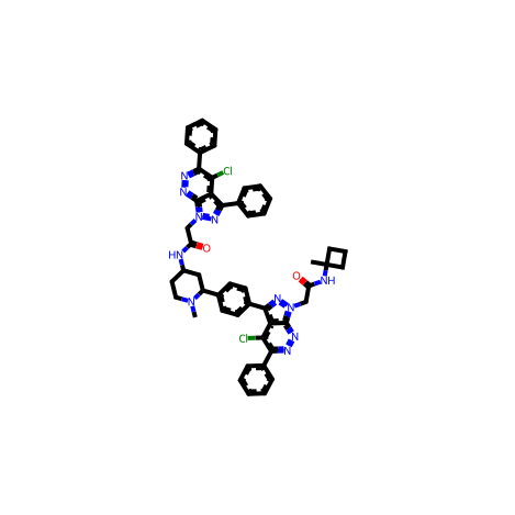 CN1CCC(NC(=O)Cn2nc(-c3ccccc3)c3c(Cl)c(-c4ccccc4)nnc32)CC1c1ccc(-c2nn(CC(=O)NC3(C)CCC3)c3nnc(-c4ccccc4)c(Cl)c23)cc1